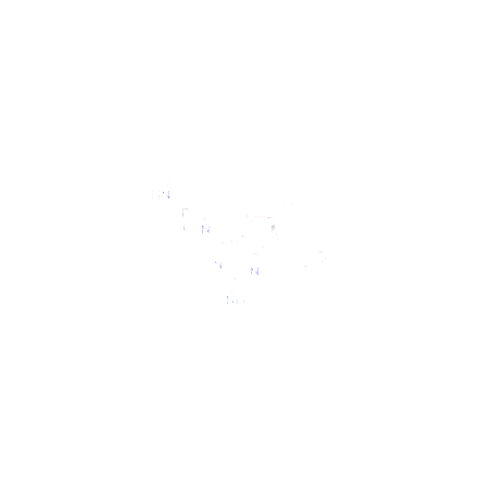 CNC1CN(c2nc(N)nc3c(C4=CC=C4)c(Cl)oc23)C1